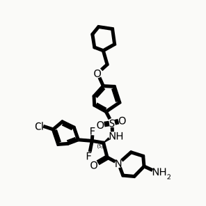 NC1CCN(C(=O)[C@H](NS(=O)(=O)c2ccc(OCC3CCCCC3)cc2)C(F)(F)c2ccc(Cl)cc2)CC1